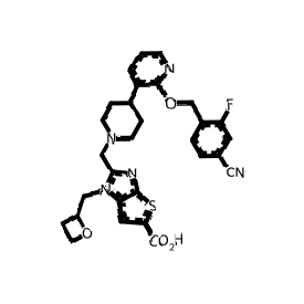 N#Cc1ccc(COc2ncccc2C2CCN(Cc3nc4sc(C(=O)O)cc4n3CC3CCO3)CC2)c(F)c1